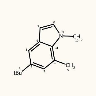 Cc1cc(C(C)(C)C)cc2ccn(C)c12